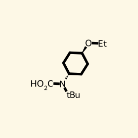 CCO[C@H]1CC[C@H](N(C(=O)O)C(C)(C)C)CC1